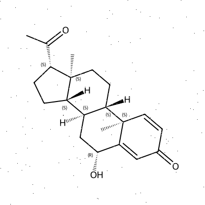 CC(=O)[C@H]1CC[C@H]2[C@@H]3C[C@@H](O)C4=CC(=O)C=C[C@]4(C)[C@H]3CC[C@]12C